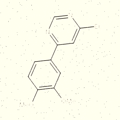 CCc1cc(-c2ccc(OC)c(OC)c2)ncn1